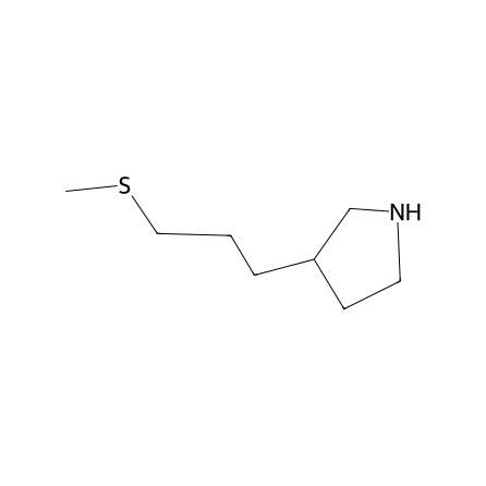 CSCCCC1CCNC1